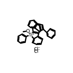 C[O][Ti+2]([c]1ccccc1)([c]1ccccc1)[c]1ccccc1C1C(c2ccccc2)=Cc2ccccc21.[Cl-].[Cl-]